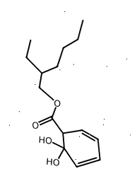 CCCCC(CC)COC(=O)C1C=CC=CC1(O)O